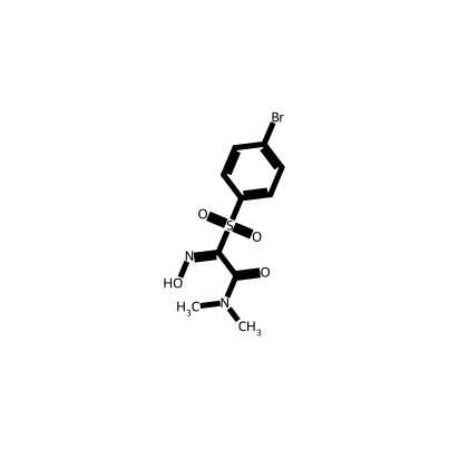 CN(C)C(=O)C(=NO)S(=O)(=O)c1ccc(Br)cc1